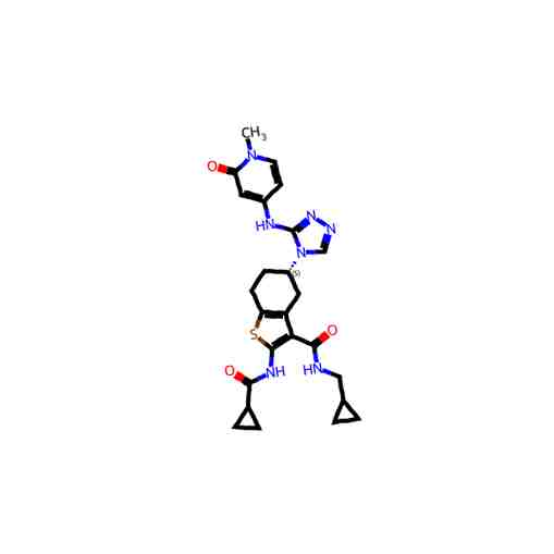 Cn1ccc(Nc2nncn2[C@H]2CCc3sc(NC(=O)C4CC4)c(C(=O)NCC4CC4)c3C2)cc1=O